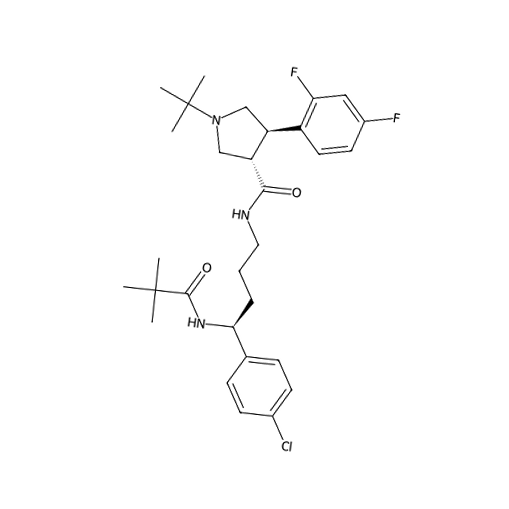 CC(C)(C)C(=O)N[C@@H](CCCNC(=O)[C@@H]1CN(C(C)(C)C)C[C@H]1c1ccc(F)cc1F)c1ccc(Cl)cc1